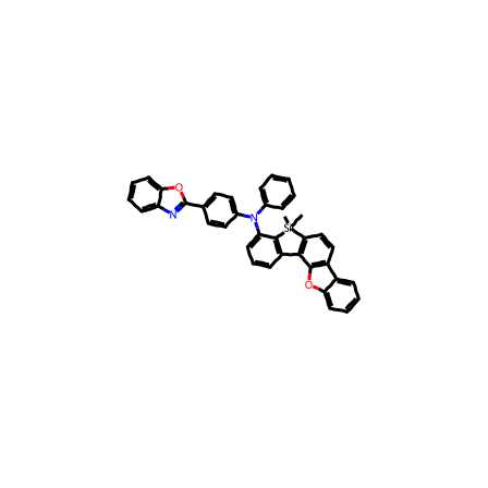 C[Si]1(C)c2ccc3c(oc4ccccc43)c2-c2cccc(N(c3ccccc3)c3ccc(-c4nc5ccccc5o4)cc3)c21